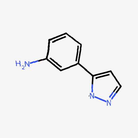 Nc1cccc(C2=CC=N[N]2)c1